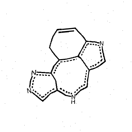 C1=Cc2ncc3c[nH]c4cnnc-4c(c2-3)C1